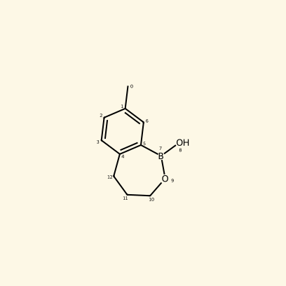 Cc1ccc2c(c1)B(O)OCCC2